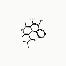 CC1=C(C(=O)O)C(c2ccccc2[N+](=O)[O-])C([S+]([O-])C(C)C)=C(C)N1